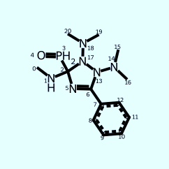 CNC1([PH2]=O)N=C(c2ccccc2)N(N(C)C)N1N(C)C